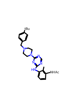 CC(=O)Nc1cccc(Nc2ncnc(N3CCN(Cc4ccc(C(C)(C)C)cc4)CC3)n2)c1C